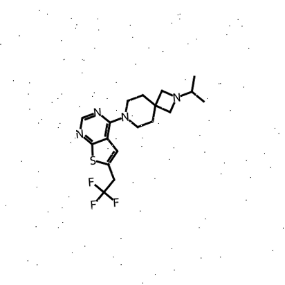 CC(C)N1CC2(CCN(c3ncnc4sc(CC(F)(F)F)cc34)CC2)C1